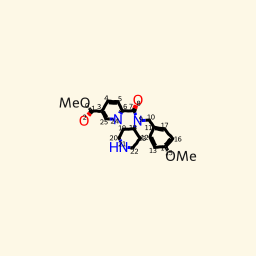 COC(=O)c1ccc(C(=O)N(Cc2ccc(OC)cc2)C2CCNCC2)nc1